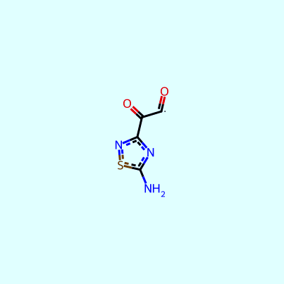 Nc1nc(C(=O)[C]=O)ns1